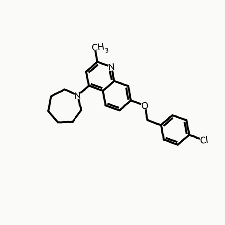 Cc1cc(N2CCCCCC2)c2ccc(OCc3ccc(Cl)cc3)cc2n1